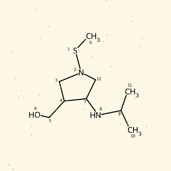 CSN1CC(CO)C(NC(C)C)C1